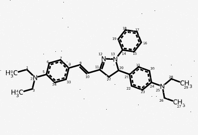 CCN(CC)c1ccc(/C=C/C2=NN(c3ccccc3)C(c3ccc(N(CC)CC)cc3)C2)cc1